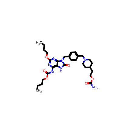 CCCCOC(=O)Nc1nc(OCCCC)nc2c1[nH]c(=O)n2Cc1ccc(CN2CCC(CCOC(N)=O)CC2)cc1